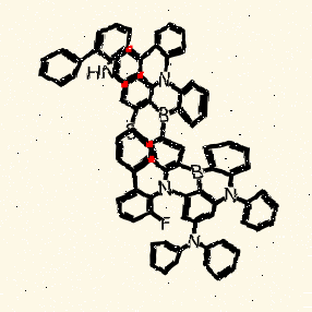 Fc1cccc(-c2ccccc2)c1N1c2cc3c(cc2B2c4ccccc4N(c4ccccc4)c4cc(N(c5ccccc5)c5ccccc5)cc1c42)B1c2ccccc2N(c2ccccc2-c2ccccc2)c2cc(Nc4ccccc4-c4ccccc4)cc(c21)S3